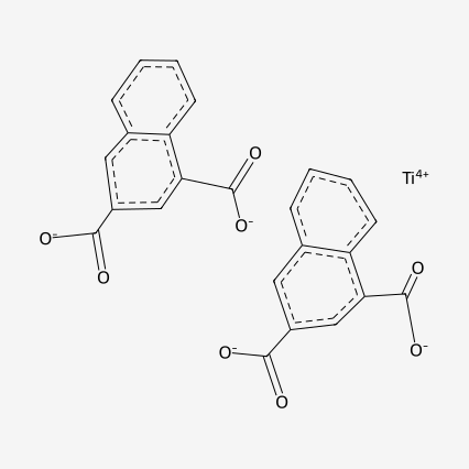 O=C([O-])c1cc(C(=O)[O-])c2ccccc2c1.O=C([O-])c1cc(C(=O)[O-])c2ccccc2c1.[Ti+4]